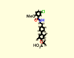 COc1ccc(Cl)cc1C(=O)NCCc1ccc(-c2cc(C)c(OC(C)(C)C(=O)O)cc2C)cc1